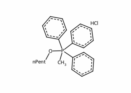 CCCCCOP(C)(c1ccccc1)(c1ccccc1)c1ccccc1.Cl